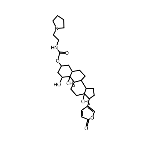 CC12CCC3C(CCC4CC(OC(=O)NCCN5CCCC5)CC(O)C43C)C1CCC2c1ccc(=O)oc1